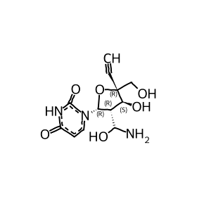 C#C[C@]1(CO)O[C@@H](n2ccc(=O)[nH]c2=O)[C@@H](C(N)O)[C@@H]1O